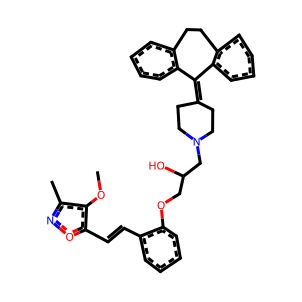 COc1c(C)noc1/C=C/c1ccccc1OCC(O)CN1CCC(=C2c3ccccc3CCc3ccccc32)CC1